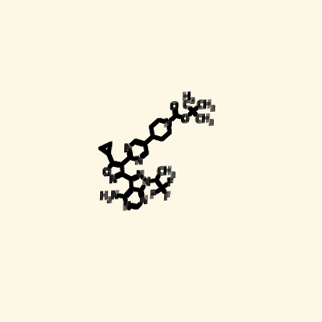 CC(n1nc(-c2noc(C3CC3)c2-c2ncc(C3CCN(C(=O)OC(C)(C)C)CC3)cn2)c2c(N)ncnc21)C(F)(F)F